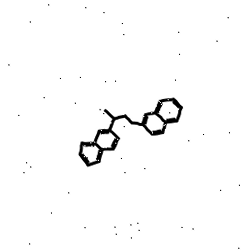 [CH2]C(CCc1ccc2ccccc2c1)c1ccc2ccccc2c1